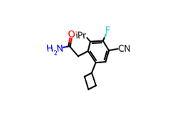 CC(C)c1c(F)c(C#N)cc(C2CCC2)c1CC(N)=O